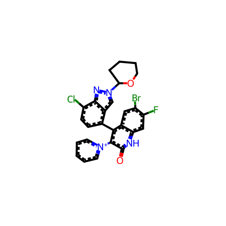 O=c1[nH]c2cc(F)c(Br)cc2c(-c2ccc(Cl)c3nn(C4CCCCO4)cc23)c1-[n+]1ccccc1